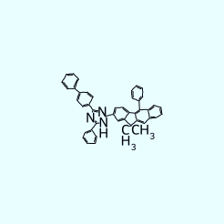 CC1(C)c2cc(C3N=C(c4ccc(-c5ccccc5)cc4)N=C(c4ccccc4)N3)ccc2-c2c1cc1ccccc1c2-c1ccccc1